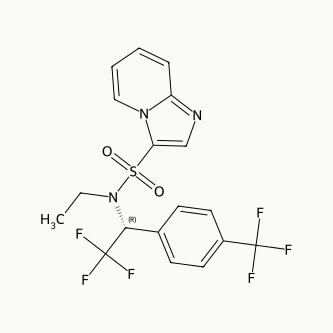 CCN([C@H](c1ccc(C(F)(F)F)cc1)C(F)(F)F)S(=O)(=O)c1cnc2ccccn12